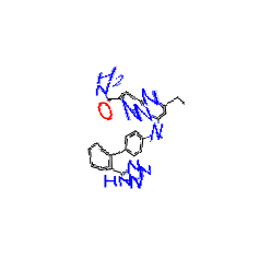 CCc1cc(N(C)c2ccc(-c3ccccc3-c3nnn[nH]3)cc2)n2nc(C(N)=O)cc2n1